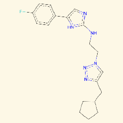 Fc1ccc(-c2cnc(NCCn3cc(CC4CCCC4)nn3)[nH]2)cc1